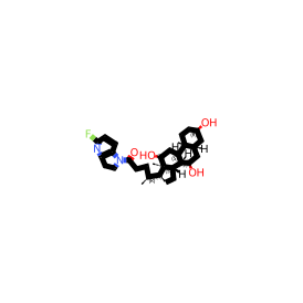 C[C@H](CCC(=O)N1CCc2nc(F)ccc21)[C@H]1CC[C@H]2[C@@H]3[C@H](O)C[C@@H]4C[C@H](O)CC[C@]4(C)[C@H]3C[C@H](O)[C@]12C